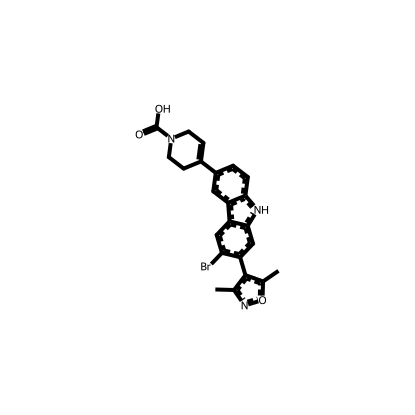 Cc1noc(C)c1-c1cc2[nH]c3ccc(C4=CCN(C(=O)O)CC4)cc3c2cc1Br